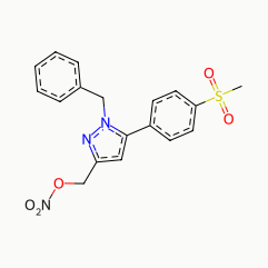 CS(=O)(=O)c1ccc(-c2cc(CO[N+](=O)[O-])nn2Cc2ccccc2)cc1